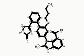 CCCCOc1cc(-n2c(C)nc3cccc(C(=O)O)c32)ccc1-c1ccccc1-c1nc(=S)o[nH]1